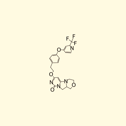 O=c1nc(OCCc2ccc(Oc3ccnc(C(F)(F)F)c3)cc2)cc2n1CC1COCCN21